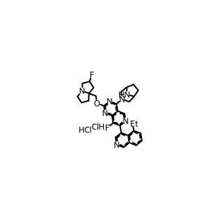 CCc1cccc2cncc(-c3ncc4c(N5CC6CCC(C5)N6)nc(OCC56CCCN5CC(F)C6)nc4c3F)c12.Cl.Cl